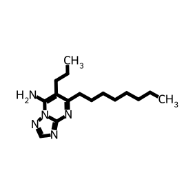 CCCCCCCCc1nc2ncnn2c(N)c1CCC